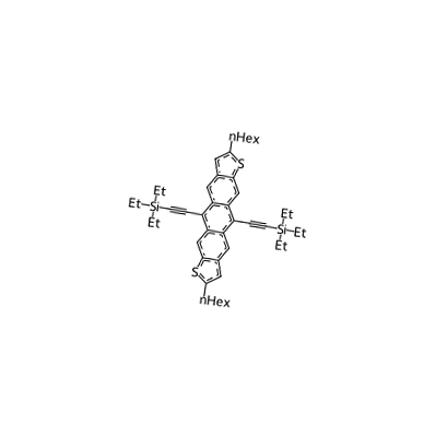 CCCCCCc1cc2cc3c(C#C[Si](CC)(CC)CC)c4cc5sc(CCCCCC)cc5cc4c(C#C[Si](CC)(CC)CC)c3cc2s1